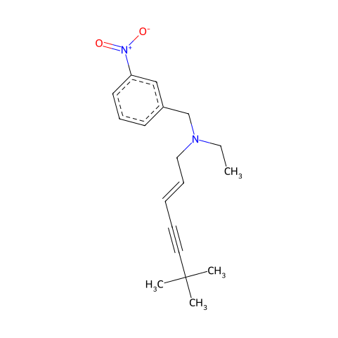 CCN(C/C=C/C#CC(C)(C)C)Cc1cccc([N+](=O)[O-])c1